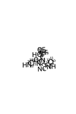 Cc1nc(-c2c(C#N)[nH]c3ccccc23)cnc1OC1CCNCC1.O=C(O)C(F)(F)F